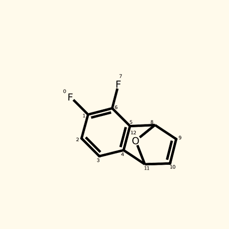 Fc1ccc2c(c1F)C1C=CC2O1